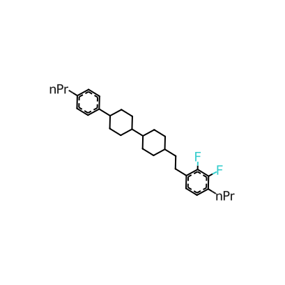 CCCc1ccc(C2CCC(C3CCC(CCc4ccc(CCC)c(F)c4F)CC3)CC2)cc1